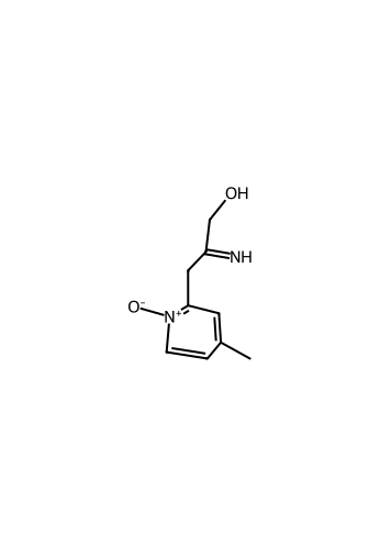 Cc1cc[n+]([O-])c(CC(=N)CO)c1